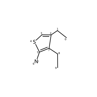 CCc1csc([N])c1CC